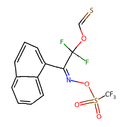 O=S(=O)(ON=C(c1cccc2ccccc12)C(F)(F)OC=S)C(F)(F)F